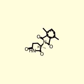 Cc1ccc(C)c2c1C(=O)N([C@]1(C)CCC(=O)NC1=O)C2=O